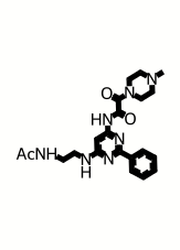 CC(=O)NCCNc1cc(NC(=O)C(=O)N2CCN(C)CC2)nc(-c2ccccc2)n1